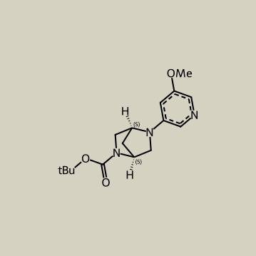 COc1cncc(N2C[C@@H]3C[C@H]2CN3C(=O)OC(C)(C)C)c1